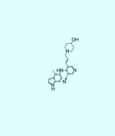 Cc1c(Nc2c(C#N)cncc2C=CCN2CCC(O)CC2)ccc2[nH]ccc12